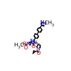 COC(=O)N1CC2(C1)N=C(c1ccc(-c3ccc(-c4cnn(C)c4)cc3)cc1)N(C[C@@H]1CCN(C(=O)C3CC3)C1)C2=O